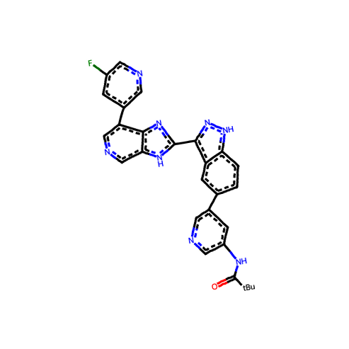 CC(C)(C)C(=O)Nc1cncc(-c2ccc3[nH]nc(-c4nc5c(-c6cncc(F)c6)cncc5[nH]4)c3c2)c1